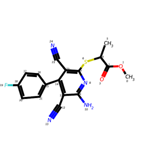 COC(=O)C(C)Sc1nc(N)c(C#N)c(-c2ccc(F)cc2)c1C#N